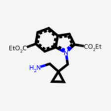 CCOC(=O)c1ccc2cc(C(=O)OCC)n(CC3(CN)CC3)c2c1